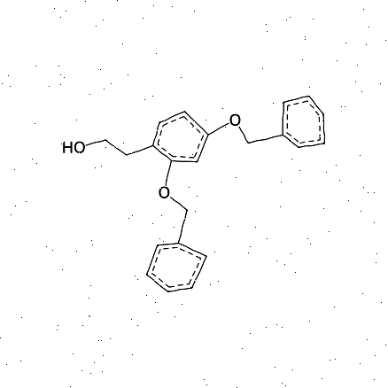 OCCc1ccc(OCc2ccccc2)cc1OCc1ccccc1